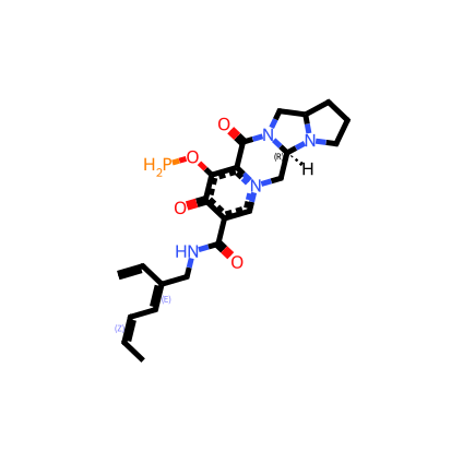 C=C/C(=C\C=C/C)CNC(=O)c1cn2c(c(OP)c1=O)C(=O)N1CC3CCCN3[C@H]1C2